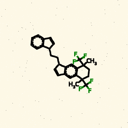 CC1(C(F)(F)F)CCC(C)(C(F)(F)F)c2cc3c(cc21)C=CC3CCC1C=Cc2ccccc21